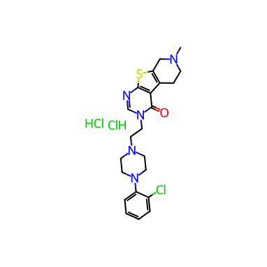 CN1CCc2c(sc3ncn(CCN4CCN(c5ccccc5Cl)CC4)c(=O)c23)C1.Cl.Cl